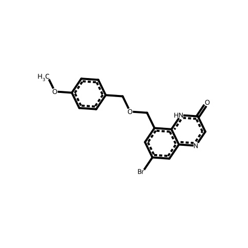 COc1ccc(COCc2cc(Br)cc3ncc(=O)[nH]c23)cc1